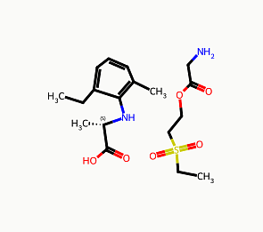 CCS(=O)(=O)CCOC(=O)CN.CCc1cccc(C)c1N[C@@H](C)C(=O)O